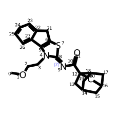 COCCn1c2c(s/c1=N\C(=O)C13CC4CC(CC1C4)C3)Cc1ccccc1-2